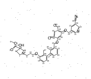 COC(=O)C1(O)CCN(CCCOc2cccc(-c3cccc(COc4cc(OCc5cncc(C#N)c5)c(C=O)cc4Cl)c3C)c2C)C1